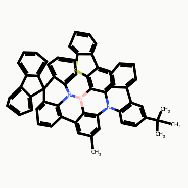 Cc1cc2c3c(c1)N(c1ccc(C(C)(C)C)cc1-c1ccccc1)c1ccc4c(sc5ccccc54)c1B3N1c3ccccc3C3(c4ccccc4-c4ccccc43)c3cccc-2c31